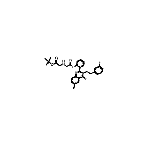 CC(C)(C)OC(=O)CNCC(=O)Oc1ccccc1-c1nc2ccc(F)cc2c(=O)n1CCc1cccc(F)c1